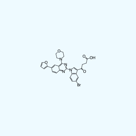 O=C(O)CCC(=O)c1cn(-c2nc(N3CCOCC3)c3cc(-c4ccco4)ccc3n2)c2ccc(Br)cc12